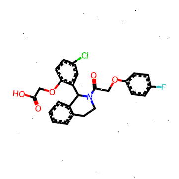 O=C(O)COc1ccc(Cl)cc1C1c2ccccc2CCN1C(=O)COc1ccc(F)cc1